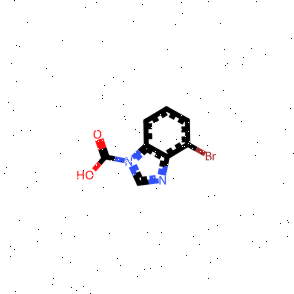 O=C(O)n1cnc2c(Br)cccc21